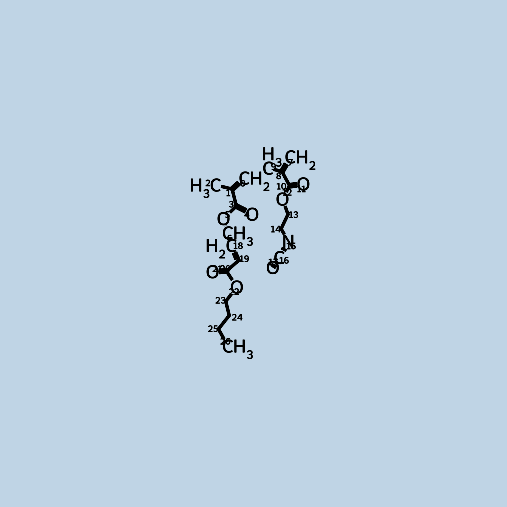 C=C(C)C(=O)OC.C=C(C)C(=O)OCCN=C=O.C=CC(=O)OCCCC